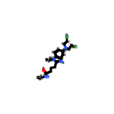 CNC(=O)CCCc1nc2cc(N(CCCl)CCCl)ccc2n1C